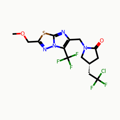 COCc1nn2c(C(F)(F)F)c(CN3C[C@@H](CC(F)(F)Cl)CC3=O)nc2s1